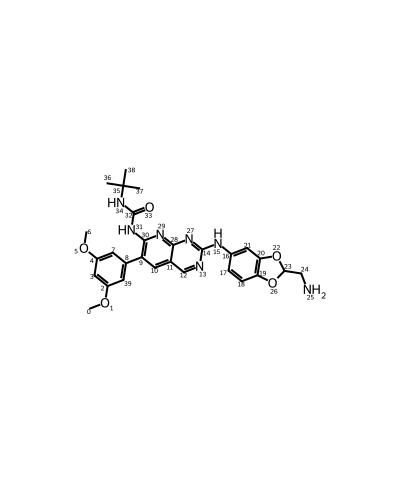 COc1cc(OC)cc(-c2cc3cnc(Nc4ccc5c(c4)OC(CN)O5)nc3nc2NC(=O)NC(C)(C)C)c1